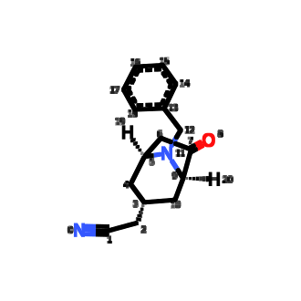 N#CC[C@@H]1C[C@H]2CC(=O)[C@@H](C1)N2Cc1ccccc1